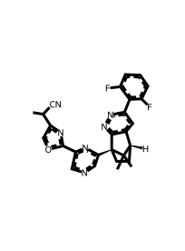 CC(C#N)c1coc(-c2cncc([C@@]34CC[C@@H](c5cc(-c6c(F)cccc6F)nnc53)C4(C)C)n2)n1